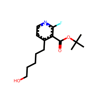 CC(C)(C)OC(=O)c1c(CCCCCO)ccnc1F